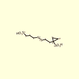 O=S(=O)(O)CCCSSCCC1(S(=O)(=O)O)CC1